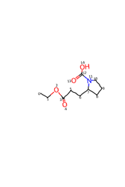 CCOC(=O)CCC1CCCN1C(=O)O